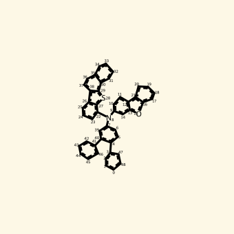 c1ccc(-c2ccc(N(c3ccc4c(c3)oc3ccccc34)c3cccc4c3sc3c5ccccc5ccc43)cc2-c2ccccc2)cc1